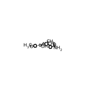 COc1ccc([C@H]2C[C@@](O)(CN3CCC(C)(c4cccc(C(N)=O)c4)C(C)C3)C2)cc1